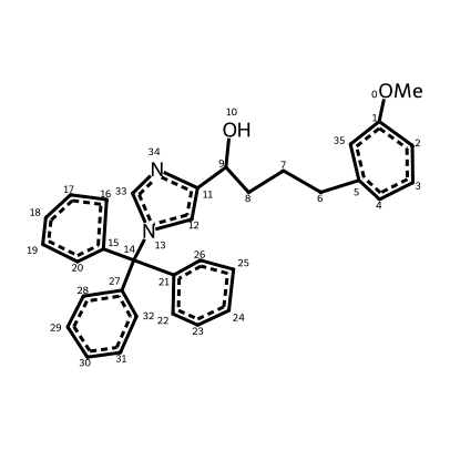 COc1cccc(CCCC(O)c2cn(C(c3ccccc3)(c3ccccc3)c3ccccc3)cn2)c1